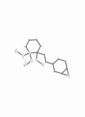 CCOC1(CCC2CCC3OC3C2)CCCC[Si]1(OCC)OCC